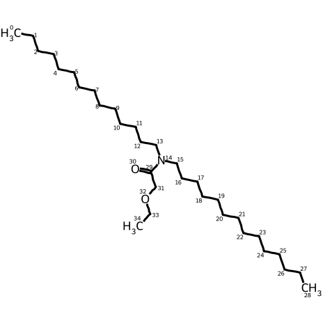 CCCCCCCCCCCCCCN(CCCCCCCCCCCCCC)C(=O)COCC